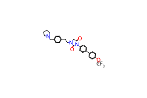 O=C1CN(CCc2ccc(CN3CCCC3)cc2)C(=O)N1c1ccc(-c2ccc(OC(F)(F)F)cc2)cc1